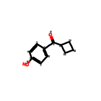 O=C(c1ccc(O)cc1)C1CCC1